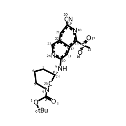 CC(C)(C)OC(=O)N1CCC[C@H](Nc2cc3c(S(C)(=O)=O)nc(C#N)cc3cn2)C1